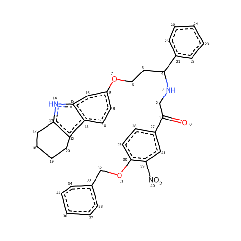 O=C(CNC(CCOc1ccc2c3c([nH]c2c1)CCCC3)c1ccccc1)c1ccc(OCc2ccccc2)c([N+](=O)[O-])c1